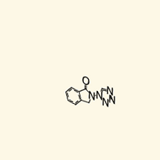 O=C1c2ccccc2CN1n1cnnn1